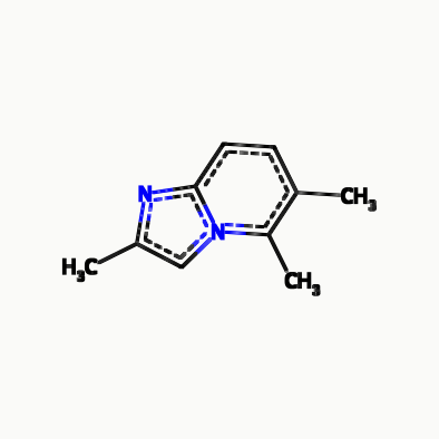 Cc1cn2c(C)c(C)ccc2n1